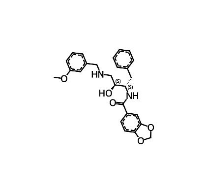 COc1cccc(CNC[C@H](O)[C@H](Cc2ccccc2)NC(=O)c2ccc3c(c2)OCO3)c1